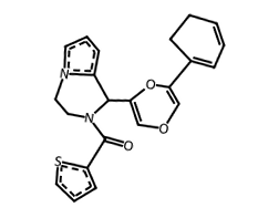 O=C(c1cccs1)N1CCn2cccc2C1C1=COC=C(C2=CC=CCC2)O1